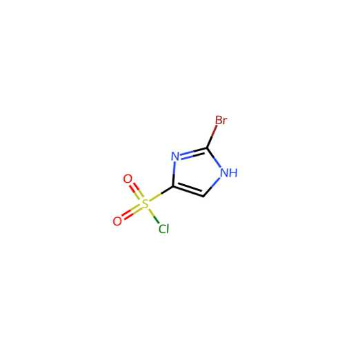 O=S(=O)(Cl)c1c[nH]c(Br)n1